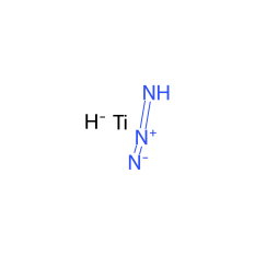 [H-].[N-]=[N+]=N.[Ti]